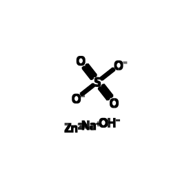 O=S(=O)([O-])[O-].[Na+].[OH-].[Zn+2]